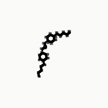 CCCCC[C@H]1CC[C@H](COC[C@H]2CC[C@H](CCCCC)CC2)CC1